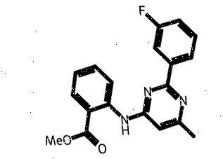 COC(=O)c1ccccc1Nc1cc(C)nc(-c2cccc(F)c2)n1